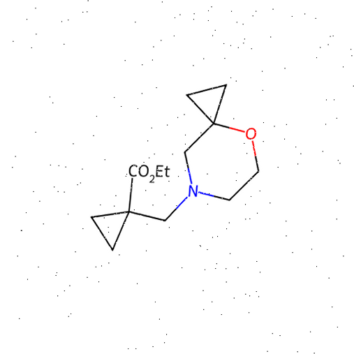 CCOC(=O)C1(CN2CCOC3(CC3)C2)CC1